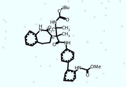 COC(=O)Nc1ccccc1-c1ccc(NC(=O)C(C)([C@H]2CCc3ccccc3NC2=O)C(C)(C)NC(=O)OC(C)(C)C)cc1